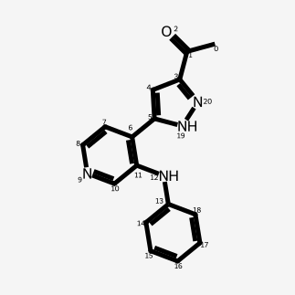 CC(=O)c1cc(-c2ccncc2Nc2ccccc2)[nH]n1